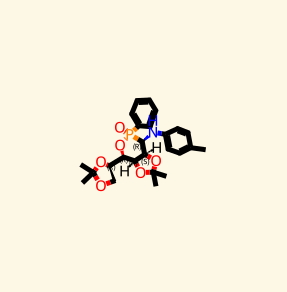 Cc1ccc(N[C@H]2[C@H]3OC(C)(C)O[C@H]3[C@@H]([C@H]3COC(C)(C)O3)OP2(=O)c2ccccc2)cc1